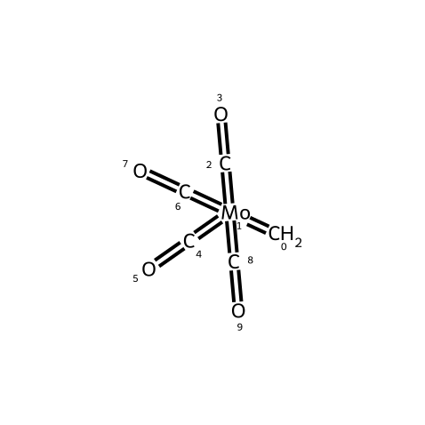 [CH2]=[Mo](=[C]=O)(=[C]=O)(=[C]=O)=[C]=O